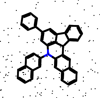 c1ccc(-c2cc3c4c(c2)N(c2ccc5ccccc5c2)c2cc5ccccc5cc2B4c2ccccc2-3)cc1